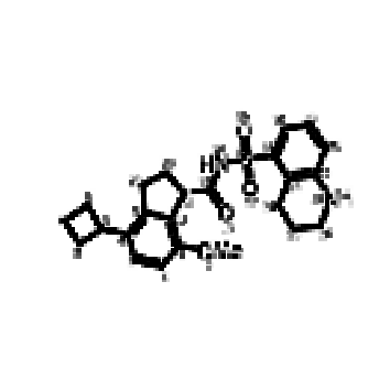 COc1ccc(C2CCC2)c2c1[C@H](C(=O)NS(=O)(=O)c1cccc3c1CCCN3)CC2